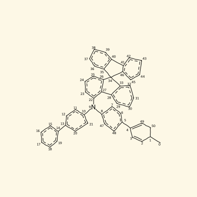 CC1C=CC(c2ccc(N(c3ccc(-c4ccccc4)cc3)c3cccc4c3-c3ccccc3C43c4ccccc4-c4ccccc43)cc2)=CC1